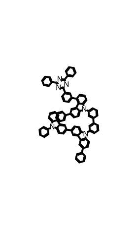 c1ccc(-c2ccc3c(c2)c2cc(-c4ccc5c(c4)c4ccccc4n5-c4ccccc4)ccc2n3-c2cccc(-c3cccc(-n4c5ccc(-c6ccccc6)cc5c5c(-c6cccc(-c7nc(-c8ccccc8)nc(-c8ccccc8)n7)c6)cccc54)c3)c2)cc1